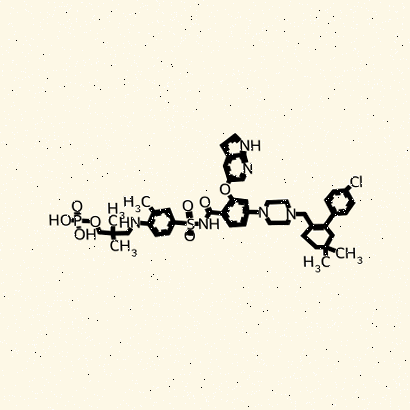 Cc1cc(S(=O)(=O)NC(=O)c2ccc(N3CCN(CC4=C(c5ccc(Cl)cc5)CC(C)(C)CC4)CC3)cc2Oc2cnc3[nH]ccc3c2)ccc1NCC(C)(C)COP(=O)(O)O